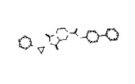 O=C(Nc1ccc(-c2ccccc2)cc1)N1CCN2C(=O)N([C@@H]3C[C@H]3c3ccccc3)C(=O)C2C1